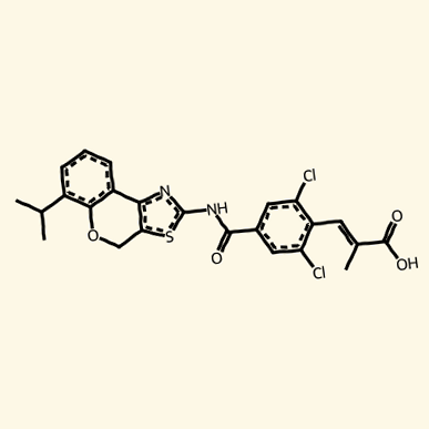 CC(=Cc1c(Cl)cc(C(=O)Nc2nc3c(s2)COc2c-3cccc2C(C)C)cc1Cl)C(=O)O